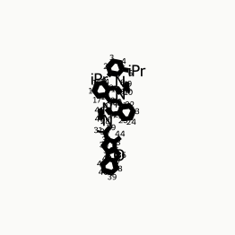 CC(C)c1cccc(C(C)C)c1-n1cc[n+]2c1-c1ccccc1C1C2c2ccccc2-c2n(C[C@H](C)C3=Cc4c(oc5ccccc45)C3C)cc[n+]21